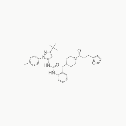 Cc1ccc(-n2nc(C(C)(C)C)cc2NC(=O)Nc2ccccc2CC2CCN(C(=O)CCc3ccco3)CC2)cc1